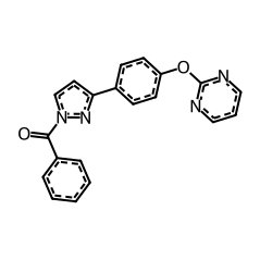 O=C(c1ccccc1)n1ccc(-c2ccc(Oc3ncccn3)cc2)n1